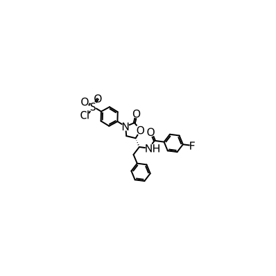 O=C(NC(Cc1ccccc1)[C@@H]1CN(c2ccc(S(=O)(=O)Cl)cc2)C(=O)O1)c1ccc(F)cc1